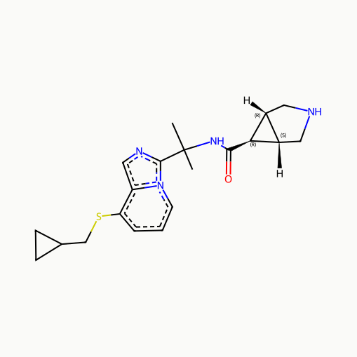 CC(C)(NC(=O)[C@H]1[C@@H]2CNC[C@@H]21)c1ncc2c(SCC3CC3)cccn12